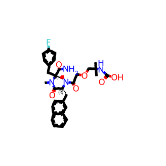 CN(C(=O)COCC(C)(C)NC(=O)O)[C@H](Cc1ccc2ccccc2c1)C(=O)N(C)[C@](C)(Cc1ccc(F)cc1)C(N)=O